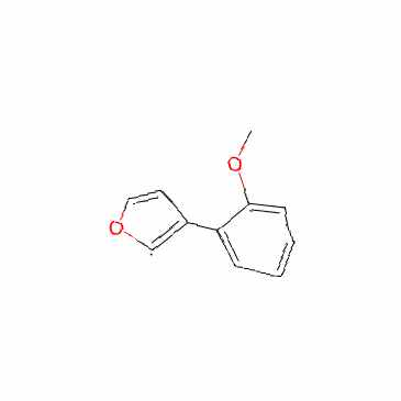 COc1ccccc1-c1[c]occ1